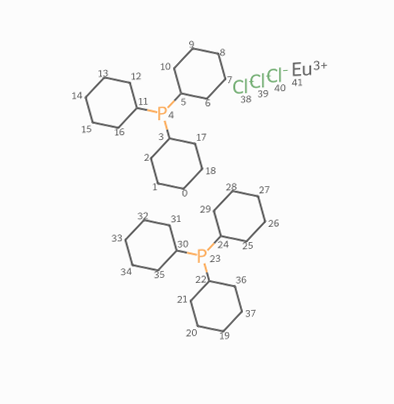 C1CCC(P(C2CCCCC2)C2CCCCC2)CC1.C1CCC(P(C2CCCCC2)C2CCCCC2)CC1.[Cl-].[Cl-].[Cl-].[Eu+3]